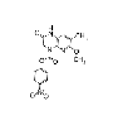 COc1nc2c(cc1C)NC(=O)CN2C(=O)Oc1ccc([N+](=O)[O-])cc1